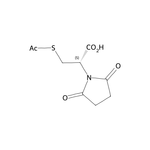 CC(=O)SC[C@H](C(=O)O)N1C(=O)CCC1=O